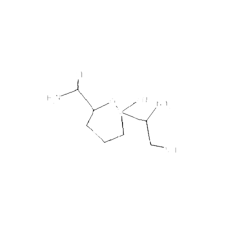 CCC(N)[Si]1(C)CCCC(C(C)N)O1